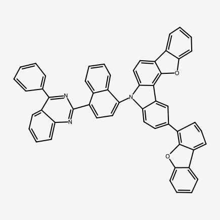 c1ccc(-c2nc(-c3ccc(-n4c5ccc(-c6cccc7c6oc6ccccc67)cc5c5c6oc7ccccc7c6ccc54)c4ccccc34)nc3ccccc23)cc1